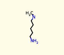 C=NCCCCCN